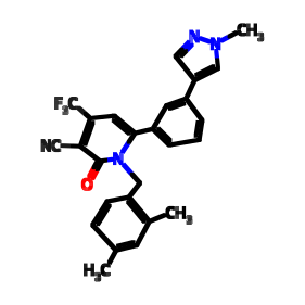 Cc1ccc(Cn2c(-c3cccc(-c4cnn(C)c4)c3)cc(C(F)(F)F)c(C#N)c2=O)c(C)c1